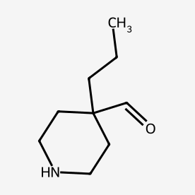 CCCC1(C=O)CCNCC1